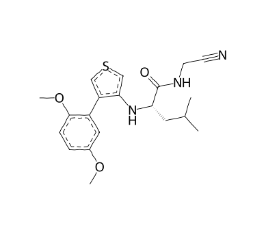 COc1ccc(OC)c(-c2cscc2N[C@@H](CC(C)C)C(=O)NCC#N)c1